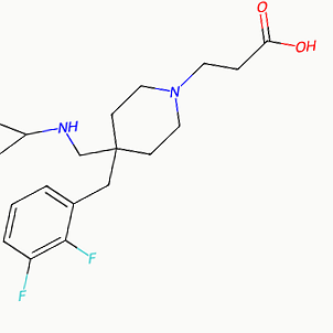 O=C(O)CCN1CCC(CNC2CC2)(Cc2cccc(F)c2F)CC1